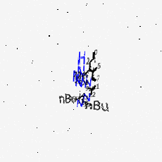 C=C/C=C(\C(=C)C(=C)/N=C\C(=C)CN1CC(CCCC)N=C1CCCC)c1nnn[nH]1